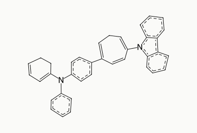 C1=CCCC(N(c2ccccc2)c2ccc(C3=CCC=C(n4c5ccccc5c5ccccc54)C=C3)cc2)=C1